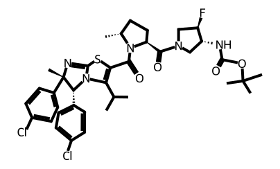 CC(C)C1=C(C(=O)N2[C@H](C)CC[C@H]2C(=O)N2C[C@@H](F)[C@H](NC(=O)OC(C)(C)C)C2)SC2=N[C@@](C)(c3ccc(Cl)cc3)[C@@H](c3ccc(Cl)cc3)N21